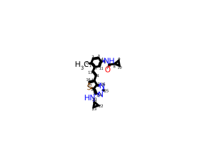 Cc1ccc(NC(=O)C2CC2)cc1/C=C/c1csc2c(NC3CC3)ncnc12